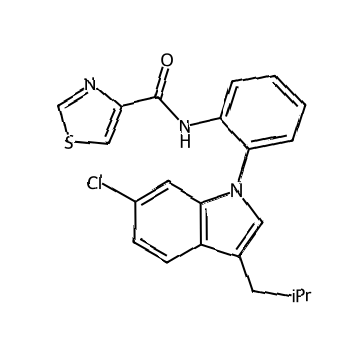 CC(C)Cc1cn(-c2ccccc2NC(=O)c2cscn2)c2cc(Cl)ccc12